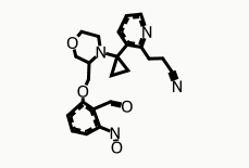 N#CCCc1ncccc1C1(N2CCOCC2COc2cccc(N=O)c2C=O)CC1